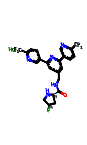 Cl.O=C(NCc1cc(-c2ccc(C(F)(F)F)nc2)nc(-c2ccc(C(F)(F)F)nc2)c1)[C@@H]1C[C@@H](F)CN1